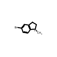 C[C@@H]1CCc2cc(Br)ccc21